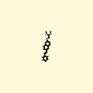 COC(CSc1ccc2cc(/C=C/c3ccccc3)ccc2n1)OC